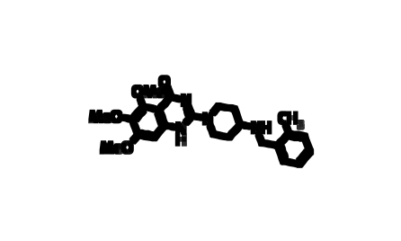 COc1cc2[nH]c(N3CCC(NCc4ccccc4C)CC3)nc(=O)c2c(OC)c1OC